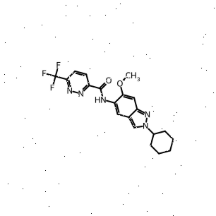 COc1cc2nn(C3CCCCC3)cc2cc1NC(=O)c1ccc(C(F)(F)F)nn1